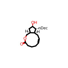 CCCCCCCCCC[C@@H]1[C@H]2C/C=C\CCCC(=O)OC[C@H]2C[C@H]1O